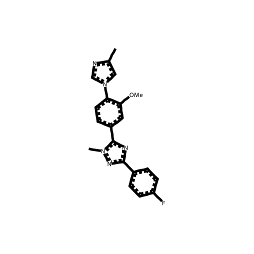 COc1cc(-c2nc(-c3ccc(F)cc3)nn2C)ccc1-n1cnc(C)c1